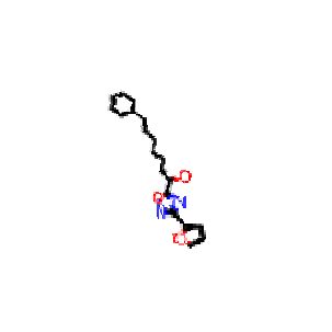 O=C(CCCCCCc1ccccc1)c1nc(-c2ccco2)no1